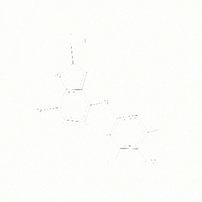 COc1c(C)cc(Nc2ccc([N+](=O)[O-])c3[nH]c(C(=O)O)cc23)cc1C